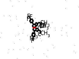 CC(C)CC1=Cc2c(-c3ccc(C(F)(F)F)cc3)cccc2[CH]1[Zr+2]1([CH]2C(CC(C)C)=Cc3c(-c4ccc(C(F)(F)F)cc4)cccc32)[CH2][CH2]1.[Cl-].[Cl-]